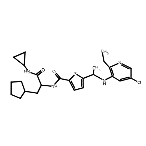 CCc1ncc(Cl)cc1NC(C)c1ccc(C(=O)NC(CC2CCCC2)C(=O)NC2CC2)s1